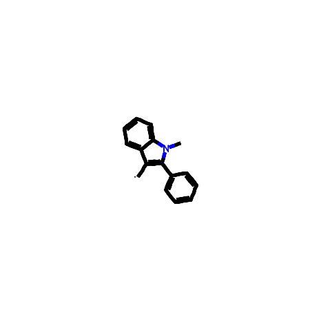 [CH2]c1c(-c2ccccc2)n(C)c2ccccc12